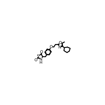 Cc1oc(CCOc2ccc(CC3NC(=O)SC3=O)cc2)nc1C1CCCCC1